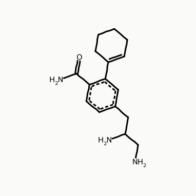 NCC(N)Cc1ccc(C(N)=O)c(C2=CCCCC2)c1